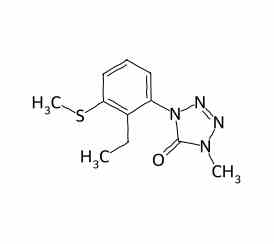 CCc1c(SC)cccc1-n1nnn(C)c1=O